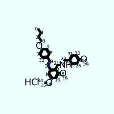 CCCCOc1ccc(/C=C/c2cc(OC)cc(OC)c2CNCc2ccc(OC)cc2)cc1.Cl